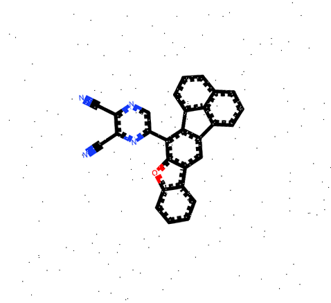 N#Cc1ncc(-c2c3c(cc4c2oc2ccccc24)-c2cccc4cccc-3c24)nc1C#N